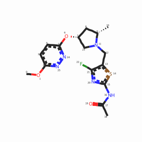 COc1ccc(O[C@@H]2C[C@H](C)N(Cc3sc(NC(C)=O)nc3F)C2)nn1